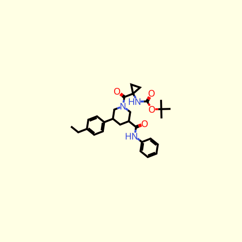 CCc1ccc(C2CC(C(=O)Nc3ccccc3)CN(C(=O)C3(NC(=O)OC(C)(C)C)CC3)C2)cc1